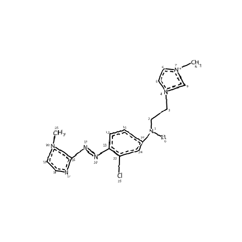 CCN(CCn1cc[n+](C)c1)c1ccc(N=Nc2nccn2C)c(Cl)c1